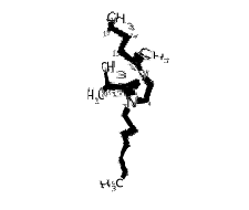 CCCCCCCn1cc[n+](C(C)CCCC)c1C(C)C